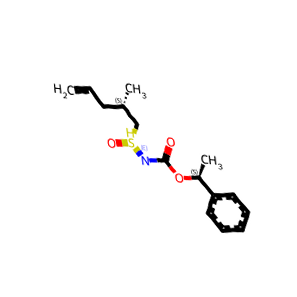 C=CC[C@H](C)C/[SH](=O)=N\C(=O)O[C@@H](C)c1ccccc1